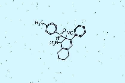 Cc1ccc(S(=O)(=O)C2([N+](=O)[O-])C(c3ccccc3)=CC3=C(CCCC3)C2[N+](=O)[O-])cc1